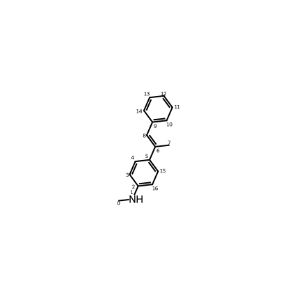 CNc1ccc(C(C)=Cc2ccccc2)cc1